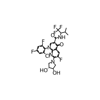 CC(C)C(NC(=O)c1cn(-c2c(F)cc(F)cc2Cl)c2nc(N3C[C@@H](O)[C@H](O)C3)c(F)cc2c1=O)C(F)(F)F